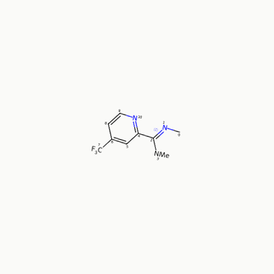 C/N=C(\NC)c1cc(C(F)(F)F)ccn1